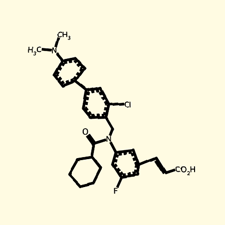 CN(C)c1ccc(-c2ccc(CN(C(=O)C3CCCCC3)c3cc(F)cc(/C=C/C(=O)O)c3)c(Cl)c2)cc1